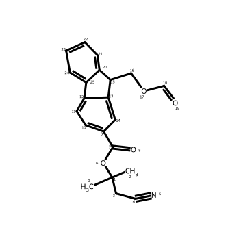 CC(C)(CC#N)OC(=O)c1ccc2c(c1)C(CO[C]=O)c1ccccc1-2